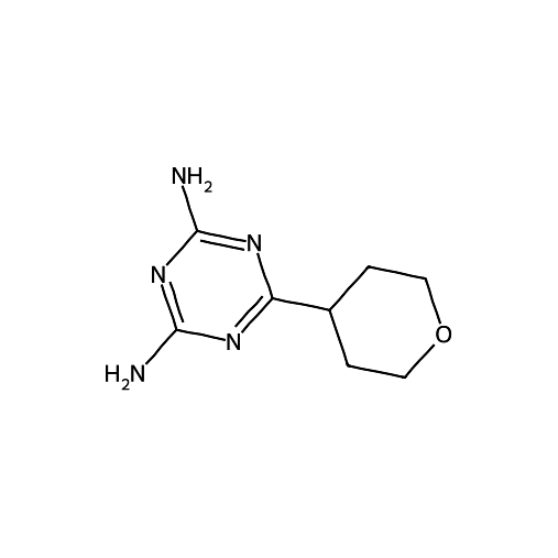 Nc1nc(N)nc(C2CCOCC2)n1